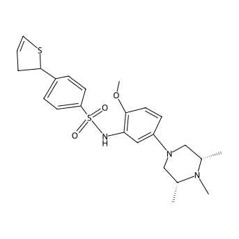 COc1ccc(N2C[C@@H](C)N(C)[C@@H](C)C2)cc1NS(=O)(=O)c1ccc(C2CC=CS2)cc1